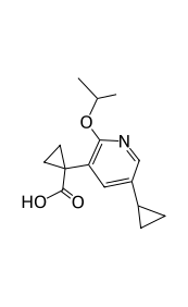 CC(C)Oc1ncc(C2CC2)cc1C1(C(=O)O)CC1